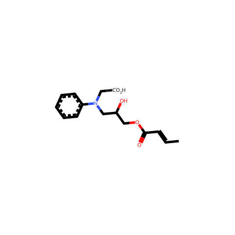 CC=CC(=O)OCC(O)CN(CC(=O)O)c1ccccc1